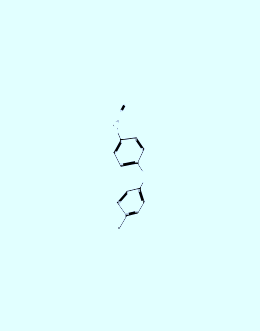 S=C=Nc1ccc(Oc2ccc(Cl)cc2)cc1